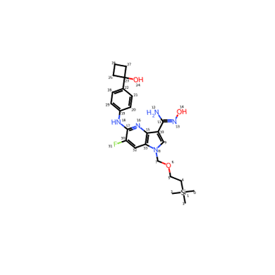 C[Si](C)(C)CCOCn1cc(/C(N)=N/O)c2nc(Nc3ccc(C4(O)CCC4)cc3)c(F)cc21